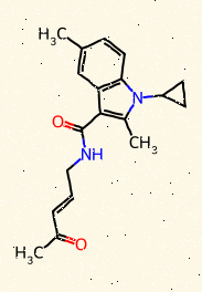 CC(=O)/C=C/CNC(=O)c1c(C)n(C2CC2)c2ccc(C)cc12